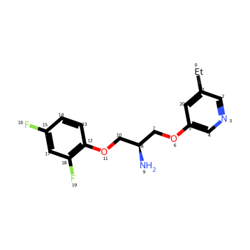 CCc1cncc(OC[C@@H](N)COc2ccc(F)cc2F)c1